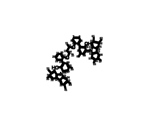 Cc1cc(-c2ccccc2OC(C)C[C@H](C)Oc2ccccc2-c2cc(C)cc(-n3c4cc(C)c(C)cc4c4cc(C)c(C)cc43)c2O)c(O)c(-n2c3cc(C)c(C)cc3c3cc(C)c(C)cc32)c1